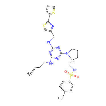 C=CCCNc1nc(NCc2csc(-c3cccs3)n2)nc(N2CCC[C@@H]2CNS(=O)(=O)c2ccc(C)cc2)n1